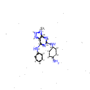 CCn1nnc2c(Nc3ccccc3)nc(NC3CCC(N)CC3)nc21